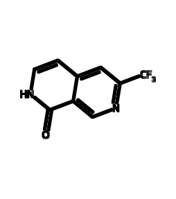 O=c1[nH]ccc2cc(C(F)(F)F)ncc12